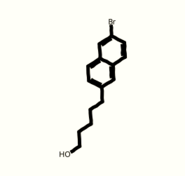 OCCCCCc1ccc2cc(Br)ccc2c1